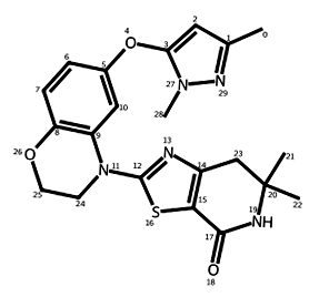 Cc1cc(Oc2ccc3c(c2)N(c2nc4c(s2)C(=O)NC(C)(C)C4)CCO3)n(C)n1